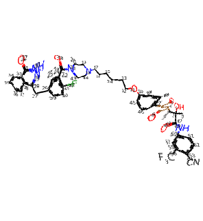 CC(O)(CS(=O)(=O)c1ccc(OCCCCCCN2CCN(C(=O)c3cc(Cc4n[nH]c(=O)c5ccccc45)ccc3F)CC2)cc1)C(=O)Nc1ccc(C#N)c(C(F)(F)F)c1